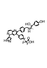 C[C@H](NCc1ccc(-c2nc3ccnc(-c4cn[nH]c4)c3cc2-c2ccccc2)cc1)[C@H](O)c1ccc(O)cc1.O=C(O)C(F)(F)F